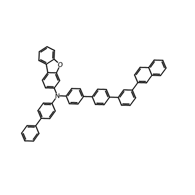 c1ccc(-c2ccc(N(c3ccc(-c4ccc(-c5cccc(-c6ccc7ccccc7c6)c5)cc4)cc3)c3ccc4c(c3)oc3ccccc34)cc2)cc1